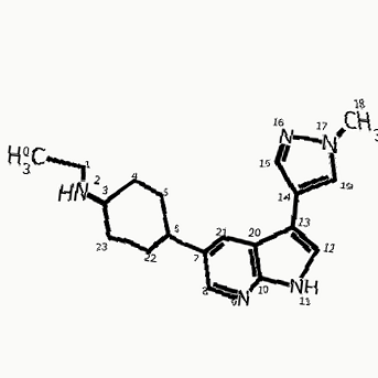 CCNC1CCC(c2cnc3[nH]cc(-c4cnn(C)c4)c3c2)CC1